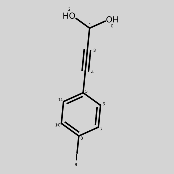 OC(O)C#Cc1ccc(I)cc1